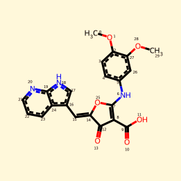 COc1ccc(NC2=C(C(=O)O)C(=O)C(=Cc3c[nH]c4ncccc34)O2)cc1OC